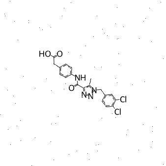 Cc1c(C(=O)Nc2ccc(CC(=O)O)cc2)nnn1Cc1ccc(Cl)c(Cl)c1